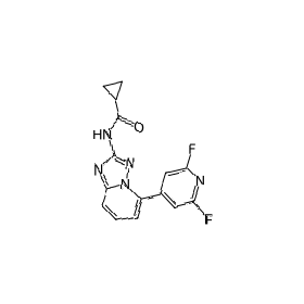 O=C(Nc1nc2cccc(-c3cc(F)nc(F)c3)n2n1)C1CC1